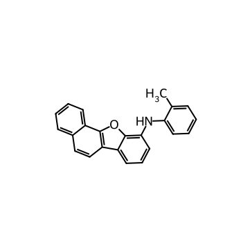 Cc1ccccc1Nc1cccc2c1oc1c3ccccc3ccc21